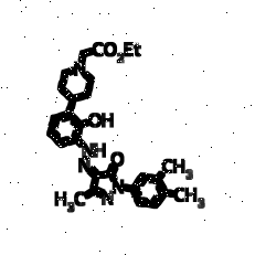 CCOC(=O)CN1CCC(c2cccc(NN=C3C(=O)N(c4ccc(C)c(C)c4)N=C3C)c2O)CC1